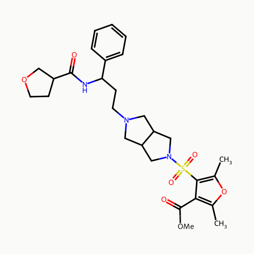 COC(=O)c1c(C)oc(C)c1S(=O)(=O)N1CC2CN(CCC(NC(=O)C3CCOC3)c3ccccc3)CC2C1